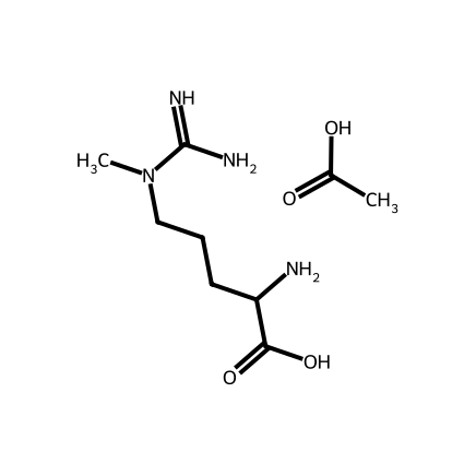 CC(=O)O.CN(CCCC(N)C(=O)O)C(=N)N